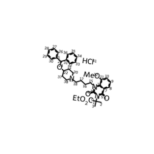 CCOC(=O)C(C)(C)n1c(=O)c2cccc(OC)c2n(CCCCN2CCC(OC(c3ccccc3)c3ccccc3)CC2)c1=O.Cl